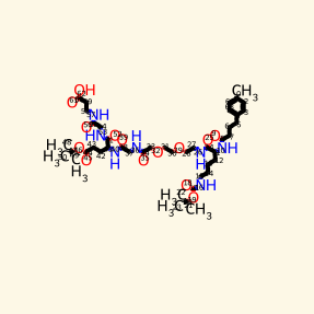 Cc1ccc(CCCC(=O)NC(CCCCNC(=O)OC(C)(C)C)C(=O)NCCOCCOCC(=O)NCC(=O)NC(CCC(=O)OC(C)(C)C)C(=O)NCC(=O)NCCC(=O)O)cc1